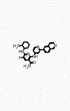 NC(=O)c1cc(F)c(NC2CCCCC2N)nc1Nc1ccnc(-c2ccc3cnccc3c2)c1